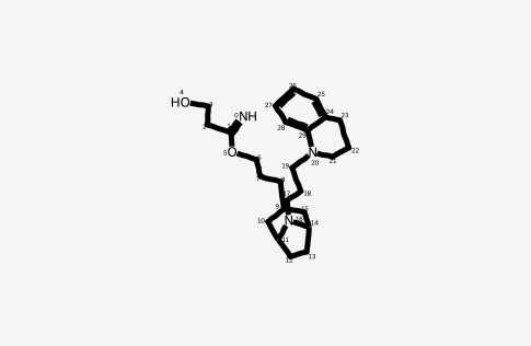 N=C(CCO)OCCCC1CC2CCC(C1)N2CCCN1CCCc2ccccc21